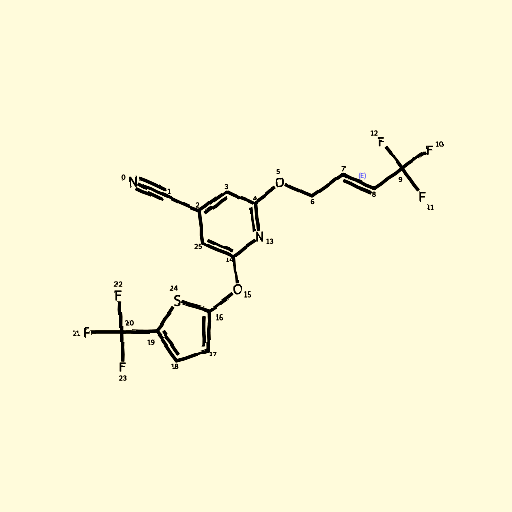 N#Cc1cc(OC/C=C/C(F)(F)F)nc(Oc2ccc(C(F)(F)F)s2)c1